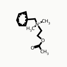 CC(=O)OCC[N+](C)(C)Cc1ccccc1